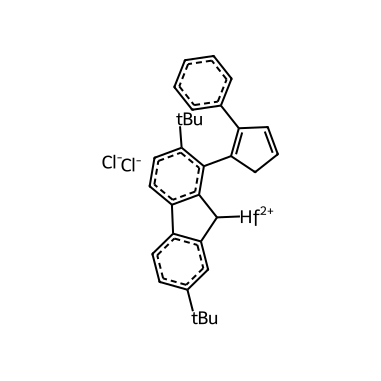 CC(C)(C)c1ccc2c(c1)[CH]([Hf+2])c1c-2ccc(C(C)(C)C)c1C1=C(c2ccccc2)C=CC1.[Cl-].[Cl-]